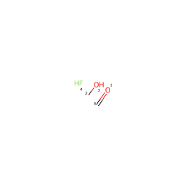 C=O.CO.F